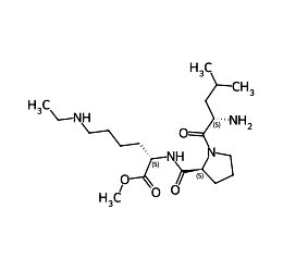 CCNCCCC[C@H](NC(=O)[C@@H]1CCCN1C(=O)[C@@H](N)CC(C)C)C(=O)OC